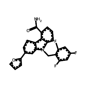 NC(=O)c1cccc2c1c1[c]cc(-c3ccco3)cc1n2Cc1c(F)cc(F)cc1F